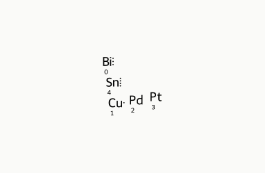 [Bi].[Cu].[Pd].[Pt].[Sn]